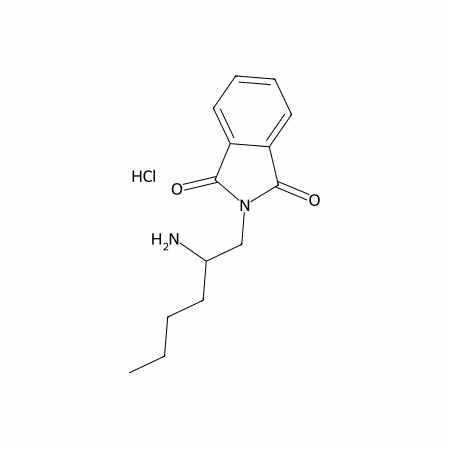 CCCCC(N)CN1C(=O)c2ccccc2C1=O.Cl